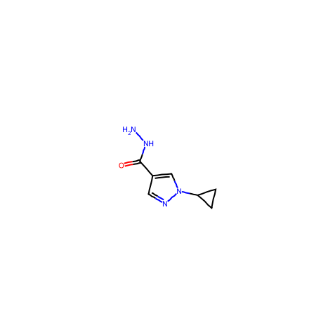 NNC(=O)c1cnn(C2CC2)c1